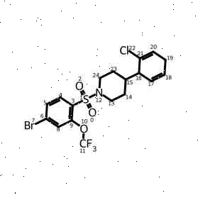 O=S(=O)(c1ccc(Br)cc1OC(F)(F)F)N1CCC(C2C=CCC=C2Cl)CC1